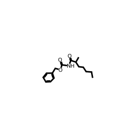 CCCCCC(C)C(=O)NC(=O)OCc1ccccc1